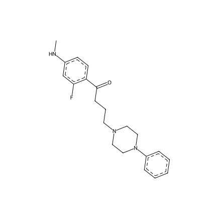 CNc1ccc(C(=O)CCCN2CCN(c3ccccc3)CC2)c(F)c1